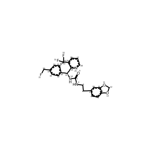 O=C(NCCc1ccc2c(c1)OCO2)N[C@@H](c1ccc(CF)cc1)c1ncccc1C(F)(F)F